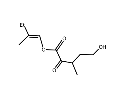 CCC(C)=COC(=O)C(=O)C(C)CCO